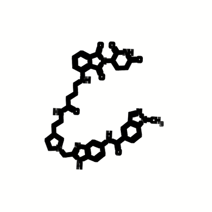 Cn1ncc2cc(C(=O)Nc3ccc4[nH]c(CN5CCC(CCNC(=O)CCCNc6cccc7c6C(=O)N(C6CCC(=O)NC6=O)C7=O)C5)nc4c3)ccc21